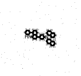 c1ccc2c(c1)Nc1ccc(-c3ccc(N(c4ccc5ccccc5c4)c4cccc5ccccc45)cc3)c3cccc-2c13